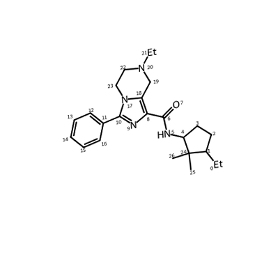 CCC1CCC(NC(=O)c2nc(-c3ccccc3)n3c2CN(CC)CC3)C1(C)C